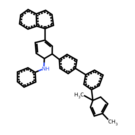 CC1=CCC(C)(c2cccc(-c3ccc(C4C=C(c5cccc6ccccc56)C=CC4Nc4ccccc4)cc3)c2)C=C1